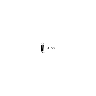 [F].[O]=[Sn].[Sn]